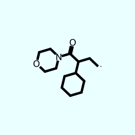 [CH2]CC(C(=O)N1CCOCC1)C1CCCCC1